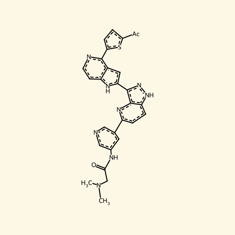 CC(=O)c1ccc(-c2nccc3[nH]c(-c4n[nH]c5ccc(-c6cncc(NC(=O)CN(C)C)c6)nc45)cc23)s1